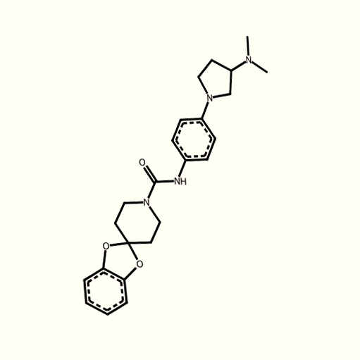 CN(C)C1CCN(c2ccc(NC(=O)N3CCC4(CC3)Oc3ccccc3O4)cc2)C1